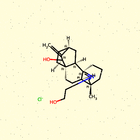 C=C1[C@H]2CC[C@@]3(CC[C@@H]4[C@@]5(C)CCC[C@@]4(C=[N+](CCO)C5)[C@@H]3C2)[C@H]1O.[Cl-]